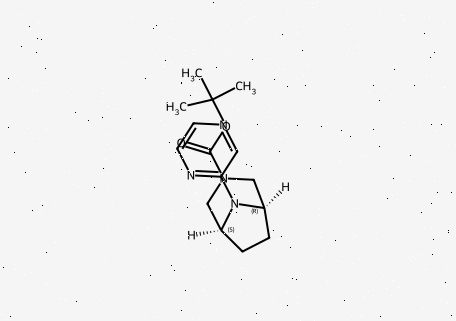 CC(C)(C)OC(=O)N1C[C@H]2CC[C@@H](C1)N2c1cnccn1